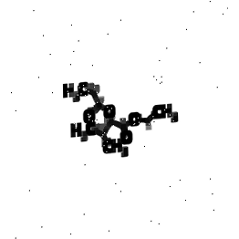 CCOC(=O)C(OC(=O)CC)C(C)C